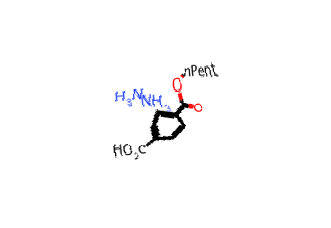 CCCCCOC(=O)c1ccc(C(=O)O)cc1.N.N